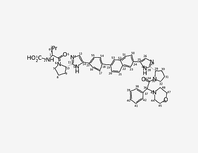 CC(C)[C@H](NC(=O)O)C(=O)N1CCC[C@H]1c1ncc(-c2ccc(-c3ccc4cc(-c5cnc([C@@H]6CCCN6C(=O)C(c6ccccc6)N6CCOCC6)[nH]5)ccc4c3)cc2)[nH]1